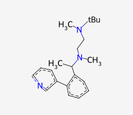 CC(c1ccccc1-c1cccnc1)N(C)CCN(C)C(C)(C)C